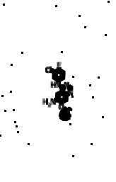 CN1CC2C3C1C23COc1cc2ncnc(Nc3ccc(F)c(Cl)c3)c2cc1N